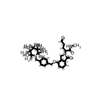 BC1(B)N(Cc2ccc(COc3cccc4c3CN(C(CCC=O)C(=O)NC)C4=O)cc2)C(B)(O)C(B)(O)C(B)(B)C1(B)B